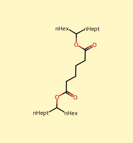 CCCCCCCC(CCCCCC)OC(=O)CCCCC(=O)OC(CCCCCC)CCCCCCC